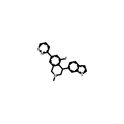 CN1Cc2cc(-c3cccnn3)cc(F)c2C(c2ccc3ccsc3c2)C1